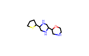 C1CSC(C2CNC(C3CNCCO3)CN2)C1